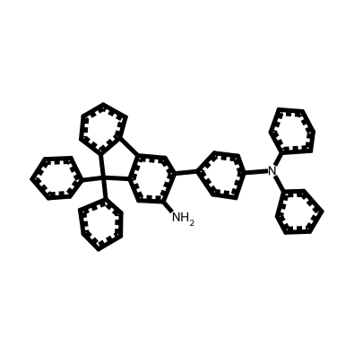 Nc1cc2c(cc1-c1ccc(N(c3ccccc3)c3ccccc3)cc1)-c1ccccc1C2(c1ccccc1)c1ccccc1